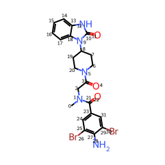 CN(CC(=O)N1CCC(n2c(=O)[nH]c3ccccc32)CC1)C(=O)c1cc(Br)c(N)c(Br)c1